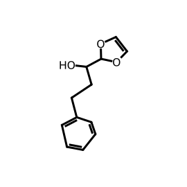 OC(CCc1ccccc1)C1OC=CO1